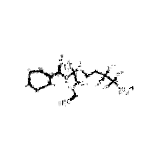 C=COC(=O)C(OCCC(F)(F)C(F)(F)S(=O)(=O)O)(OC(=O)C1CCCCC1)C(F)(F)F